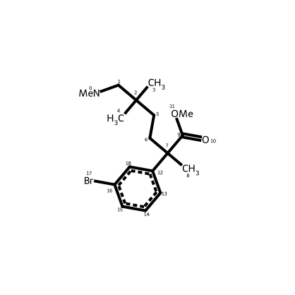 CNCC(C)(C)CCC(C)(C(=O)OC)c1cccc(Br)c1